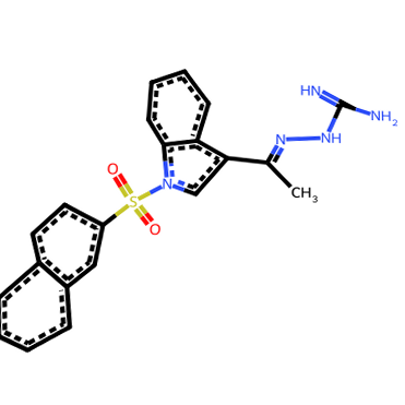 CC(=NNC(=N)N)c1cn(S(=O)(=O)c2ccc3ccccc3c2)c2ccccc12